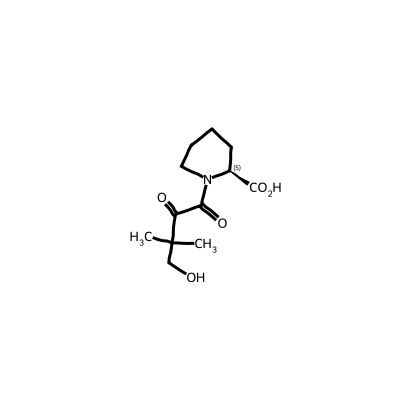 CC(C)(CO)C(=O)C(=O)N1CCCC[C@H]1C(=O)O